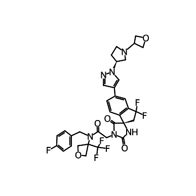 O=C1N[C@]2(CC(F)(F)c3cc(-c4cnn([C@H]5CCN(C6COC6)C5)c4)ccc32)C(=O)N1CC(=O)N(Cc1ccc(F)cc1)C1(C(F)(F)F)COC1